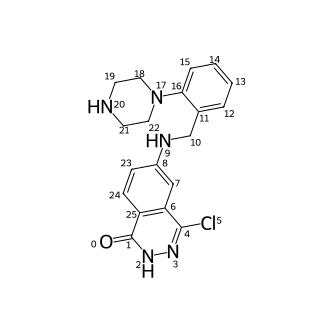 O=c1[nH]nc(Cl)c2cc(NCc3ccccc3N3CCNCC3)ccc12